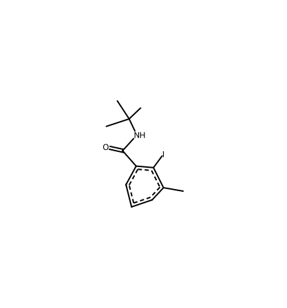 Cc1cccc(C(=O)NC(C)(C)C)c1I